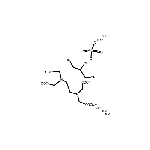 O=C([O-])CN(CCN(CC(=O)[O-])CC(=O)[O-])CC(=O)[O-].OCC(O)CO.[Na+].[Na+].[Na+].[Na+].[Na+].[Na+].[O]=[Mo](=[O])([O-])[O-]